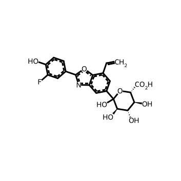 C=Cc1cc(C2(O)O[C@H](C(=O)O)[C@@H](O)[C@H](O)[C@H]2O)cc2nc(-c3ccc(O)c(F)c3)oc12